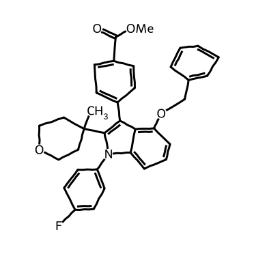 COC(=O)c1ccc(-c2c(C3(C)CCOCC3)n(-c3ccc(F)cc3)c3cccc(OCc4ccccc4)c23)cc1